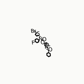 O=C(C[N+]12CCC(CC1)C(OC(=O)N(Cc1ccc(Br)s1)c1ccc(F)cc1)C2)c1ccccc1